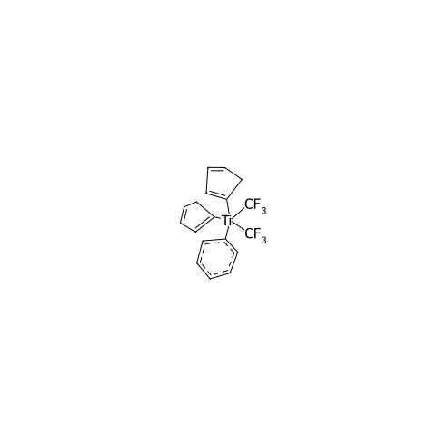 F[C](F)(F)[Ti]([C]1=CC=CC1)([C]1=CC=CC1)([c]1ccccc1)[C](F)(F)F